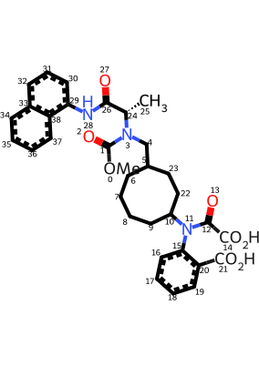 COC(=O)N(CC1CCCCC(N(C(=O)C(=O)O)c2ccccc2C(=O)O)CC1)[C@@H](C)C(=O)Nc1cccc2ccccc12